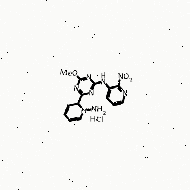 COc1nc(Nc2cccnc2[N+](=O)[O-])nc(C2C=CC=CN2N)n1.Cl